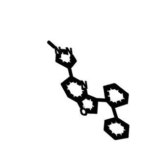 Cn1cc(-c2ccc3occ(-c4ccccc4-c4ccccc4)c3n2)cn1